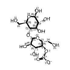 O=[N+]([O-])O[C@H]1[C@H](O)[C@@H](O)[C@H](O[C@H]2[C@H](O)[C@@H](O)[C@H](O)O[C@@H]2CO)O[C@@H]1CO